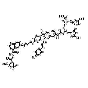 N#C[C@H]1CC(F)(F)CC1C(=O)CNC(=O)c1ccnc2ccc(OCCCCN3CCN(C(=O)CCN/N=C\C(C/C=N/NCN/N=C/c4ccc(O)cc4)NC(=O)CN4CCN(CC(=O)O)CCN(CC(=O)O)CCN(CC(=O)O)CC4)CC3)cc12